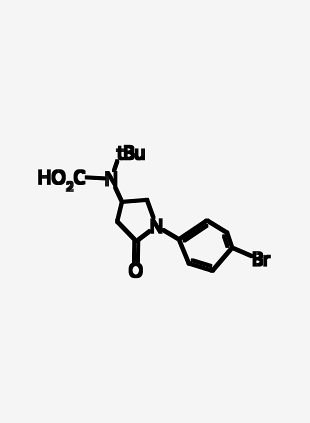 CC(C)(C)N(C(=O)O)C1CC(=O)N(c2ccc(Br)cc2)C1